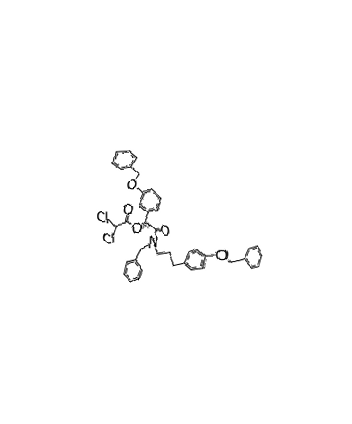 O=C(O[C@@H](C(=O)N(CCCc1ccc(OCc2ccccc2)cc1)Cc1ccccc1)c1cccc(OCc2ccccc2)c1)C(Cl)Cl